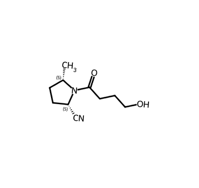 C[C@H]1CC[C@@H](C#N)N1C(=O)CCCO